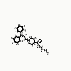 CCOC(=O)C1CCN(CCN(c2ccccc2)c2ccccc2)CC1